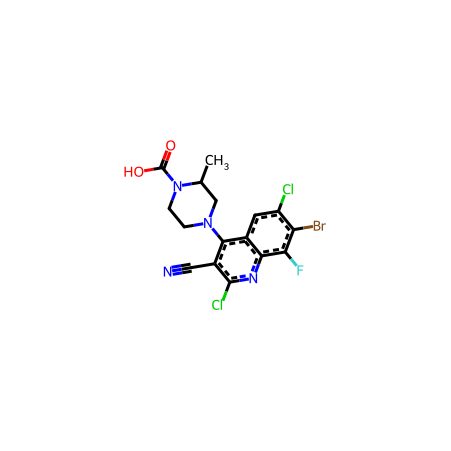 CC1CN(c2c(C#N)c(Cl)nc3c(F)c(Br)c(Cl)cc23)CCN1C(=O)O